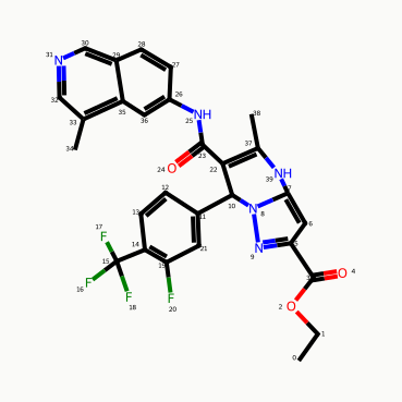 CCOC(=O)c1cc2n(n1)C(c1ccc(C(F)(F)F)c(F)c1)C(C(=O)Nc1ccc3cncc(C)c3c1)=C(C)N2